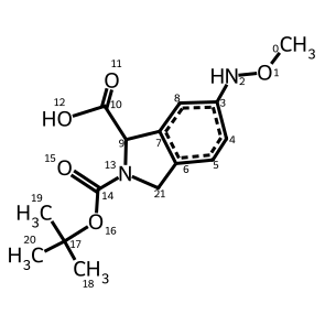 CONc1ccc2c(c1)C(C(=O)O)N(C(=O)OC(C)(C)C)C2